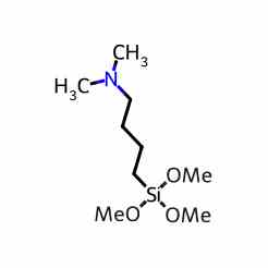 CO[Si](CCCCN(C)C)(OC)OC